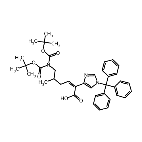 CC(CC=C(C(=O)O)c1cn(C(c2ccccc2)(c2ccccc2)c2ccccc2)cn1)CN(C(=O)OC(C)(C)C)C(=O)OC(C)(C)C